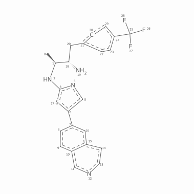 C[C@H](Nc1ncc(-c2ccc3cnccc3c2)s1)[C@@H](N)Cc1ccc(C(F)(F)F)cc1